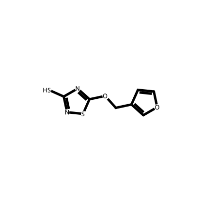 Sc1nsc(OCc2ccoc2)n1